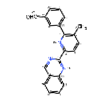 Cc1ccc(-c2ncc3ccccc3n2)nc1-c1cccc(C=O)c1